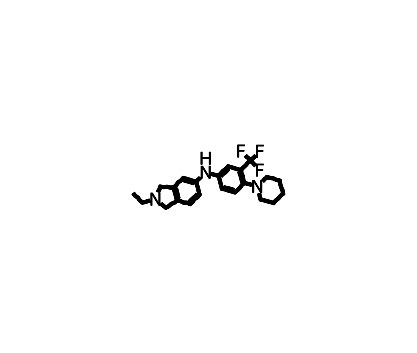 CCN1Cc2ccc(Nc3ccc(N4CCCCC4)c(C(F)(F)F)c3)cc2C1